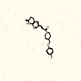 C=C1CCc2cc(/C=C/C(=O)N3CCC(COc4ccc(F)cc4)CC3)cnc2N1